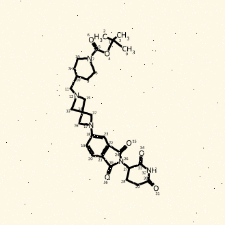 CC(C)(C)OC(=O)N1CCC(CN2CC3(C2)CN(c2ccc4c(c2)C(=O)N(C2CCC(=O)NC2=O)C4=O)C3)CC1